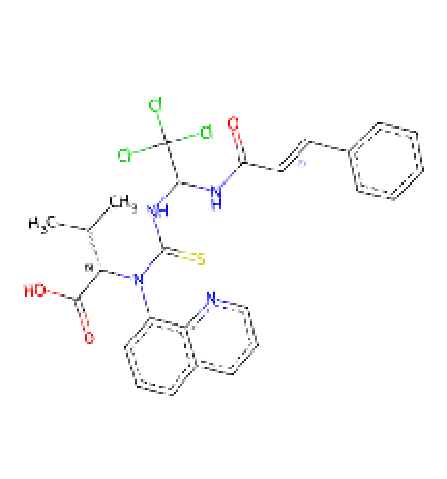 CC(C)[C@@H](C(=O)O)N(C(=S)NC(NC(=O)/C=C/c1ccccc1)C(Cl)(Cl)Cl)c1cccc2cccnc12